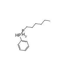 CCCCCC[PH3]Pc1ccccc1